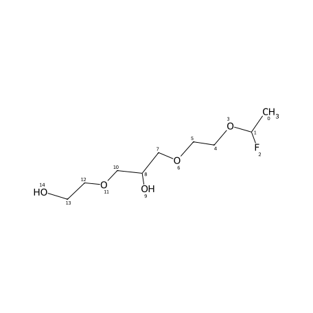 CC(F)OCCOCC(O)COCCO